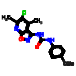 COc1ccc(NC(=O)Nc2noc3nc(C)c(Cl)c(C)c23)cc1